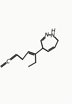 C=C=CC/C=C(\CC)C1C=CCNN=C1